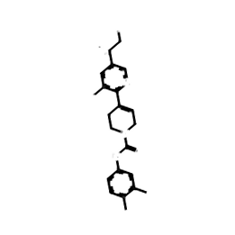 Cc1ccc(NC(=O)N2CC=C(c3ncc([C@H](O)CO)cc3Cl)CC2)cc1C